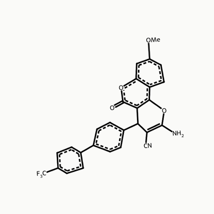 COc1ccc2c3c(c(=O)oc2c1)C(c1ccc(-c2ccc(C(F)(F)F)cc2)cc1)C(C#N)=C(N)O3